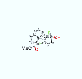 COC(=O)c1ccc2cccc(-c3c(F)ccc(O)c3F)c2c1